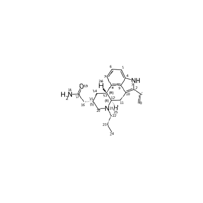 C=Cc1[nH]c2cccc3c2c1C[C@@H]1[C@@H]3C[C@@H](CC(N)=O)CN1CCC